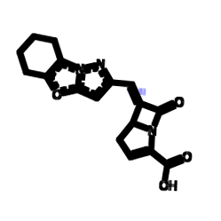 O=C(O)C1=CCC2/C(=C\c3cc4oc5c(n4n3)CCCC5)C(=O)N12